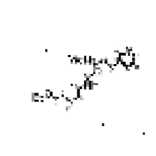 CCOCCN(C)CCNCCC(CSc1ccccc1)NC